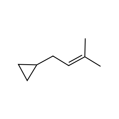 CC(C)=CCC1CC1